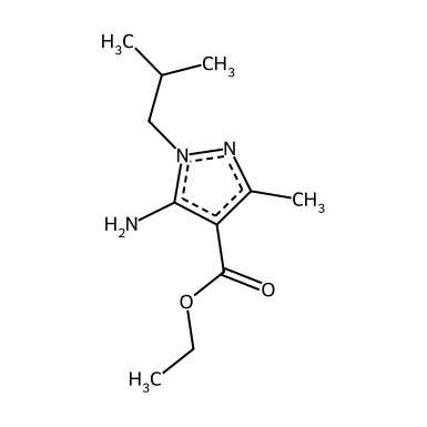 CCOC(=O)c1c(C)nn(CC(C)C)c1N